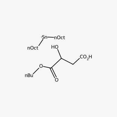 CCCCCCC[CH2][Sn][CH2]CCCCCCC.CCCCOC(=O)C(O)CC(=O)O